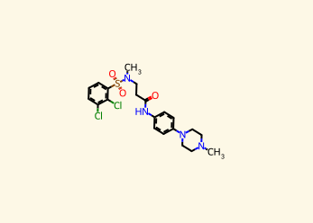 CN1CCN(c2ccc(NC(=O)CCN(C)S(=O)(=O)c3cccc(Cl)c3Cl)cc2)CC1